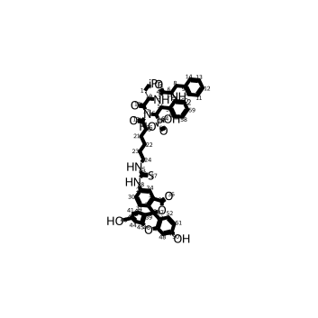 CC(C)C[C@H](NC(=O)[C@@H](N)Cc1ccccc1)C(=O)N(C(=O)CCCCCNC(=S)Nc1ccc2c(c1)C(=O)OC21c2ccc(O)cc2Oc2cc(O)ccc21)C(Cc1ccccc1)P(=O)(O)O